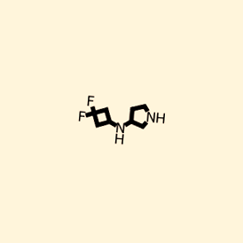 FC1(F)CC(NC2CCNC2)C1